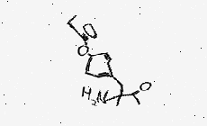 CCC(=O)Oc1ccc(CC(C)(N)C(C)=O)cc1